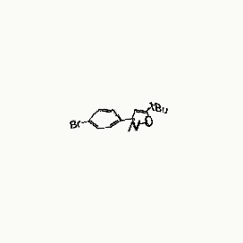 CC(C)(C)c1cc(-c2ccc(Br)cc2)no1